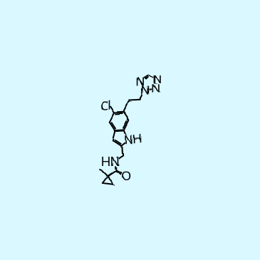 CC1(C(=O)NCc2cc3cc(Cl)c(CCn4ncnn4)cc3[nH]2)CC1